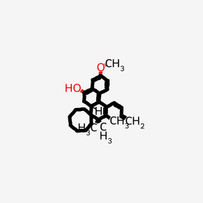 C=C/C=C\C1=C(C)C(C)(C)C2(CCCCCCC2)[C@H]2CC(O)=c3cc(OC)ccc3=C12